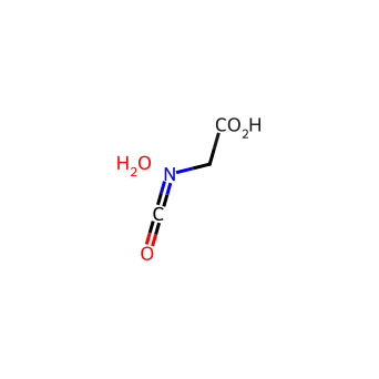 O.O=C=NCC(=O)O